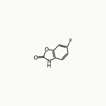 O=c1[nH]c2ccc(F)cc2o1